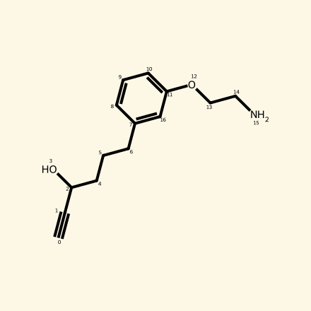 C#CC(O)CCCc1cccc(OCCN)c1